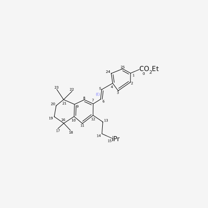 CCOC(=O)c1ccc(/C=C/c2cc3c(cc2CCC(C)C)C(C)(C)CCC3(C)C)cc1